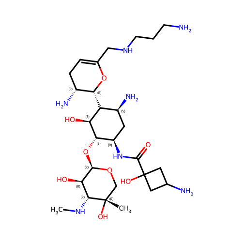 CN[C@@H]1[C@@H](O)[C@@H](O[C@H]2[C@H](NC(=O)C3(O)CC(N)C3)C[C@H](N)C([C@H]3OC(CNCCCN)=CC[C@H]3N)[C@@H]2O)OC[C@]1(C)O